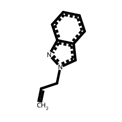 C=CCn1cc2ccccc2n1